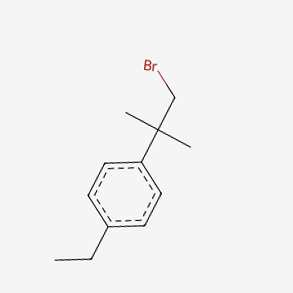 CCc1ccc(C(C)(C)CBr)cc1